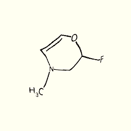 CN1C=COC(F)C1